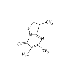 Cc1c(C(F)(F)F)nc2n(c1=O)SCC2C